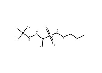 CCCCOS(=O)(=O)C(C)OOC(C)(C)C